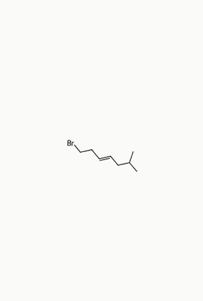 CC(C)CC=CCCBr